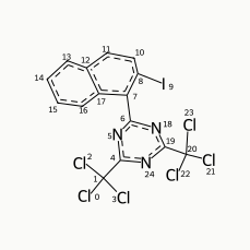 ClC(Cl)(Cl)c1nc(-c2c(I)ccc3ccccc23)nc(C(Cl)(Cl)Cl)n1